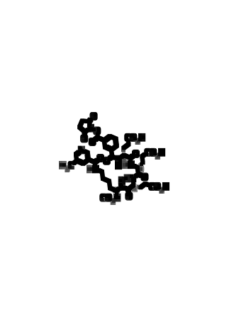 Cc1cncc(C(=O)NCCCC[C@@H](NC(=O)[C@@H](CCC(=O)O)NC(=O)[C@@H](CCC(=O)O)NC(=O)[C@@H](CCC(=O)O)NC(=O)c2cccc(C(=O)ON3C(=O)CCC3=O)c2)C(=O)O)c1